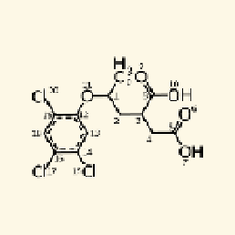 CC(CC(CC(=O)O)C(=O)O)Oc1cc(Cl)c(Cl)cc1Cl